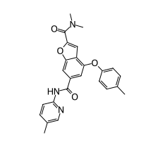 Cc1ccc(Oc2cc(C(=O)Nc3ccc(C)cn3)cc3oc(C(=O)N(C)C)cc23)cc1